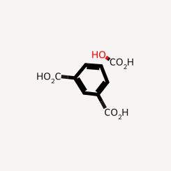 O=C(O)O.O=C(O)c1cccc(C(=O)O)c1